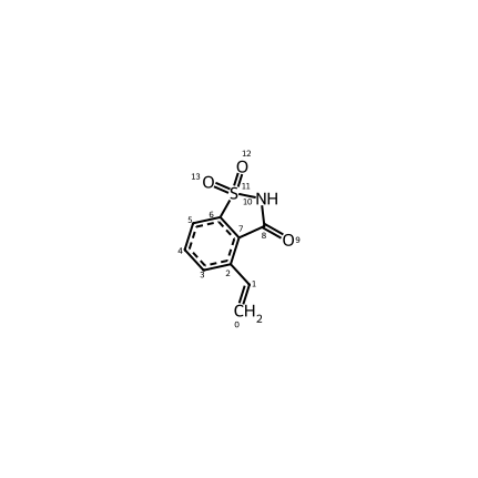 C=Cc1cccc2c1C(=O)NS2(=O)=O